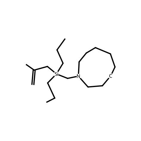 C=C(C)C[Si](CCC)(CCC)CN1CCCCCCCC1